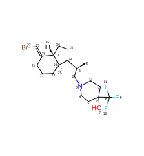 C[C@@H](CN1CCC(O)(C(F)(F)F)CC1)[C@H]1CC[C@H]2/C(=C/Br)CCC[C@]12C